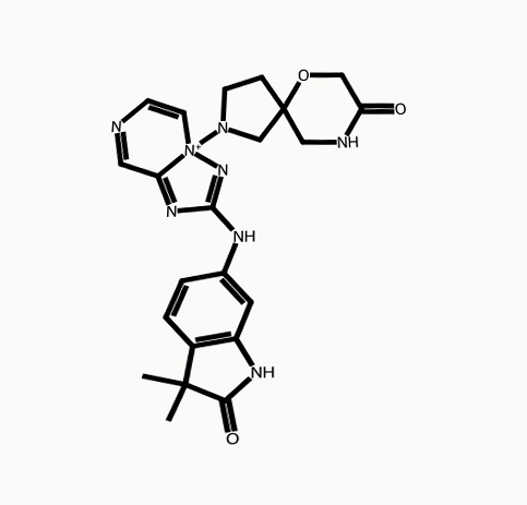 CC1(C)C(=O)Nc2cc(NC3=N[N+]4(N5CCC6(CNC(=O)CO6)C5)C=CN=CC4=N3)ccc21